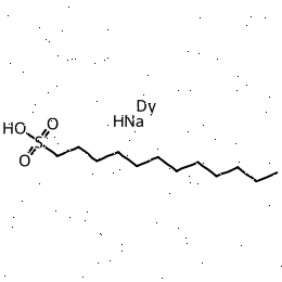 CCCCCCCCCCCCS(=O)(=O)O.[Dy].[NaH]